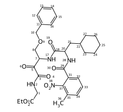 CCOC(=O)CNC(=O)C(=O)C(COCc1ccccc1)NC(=O)C(CC1CCCCC1)NC(=O)c1cccc(C)c1[N+](=O)[O-]